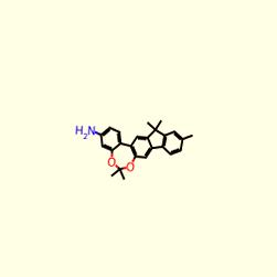 Cc1ccc2c(c1)C(C)(C)c1cc3c(cc1-2)OC(C)(C)Oc1cc(N)ccc1-3